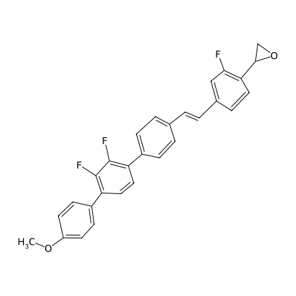 COc1ccc(-c2ccc(-c3ccc(/C=C/c4ccc(C5CO5)c(F)c4)cc3)c(F)c2F)cc1